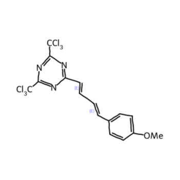 COc1ccc(/C=C/C=C/c2nc(C(Cl)(Cl)Cl)nc(C(Cl)(Cl)Cl)n2)cc1